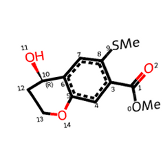 COC(=O)c1cc2c(cc1SC)[C@H](O)CCO2